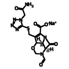 NC(=O)Cn1nnnc1SCC1=C(C(=O)[O-])N2C(=O)[C@@H]3[C@H]2C1OCN3C=O.[Na+]